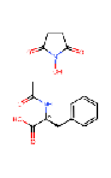 CC(=O)N[C@@H](Cc1ccccc1)C(=O)O.O=C1CCC(=O)N1O